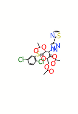 CC(=O)OCC1O[C@H](Sc2cc(Cl)ccc2Cl)C(OC(C)=O)C(n2cc(-c3nccs3)nn2)[C@H]1OC(C)=O